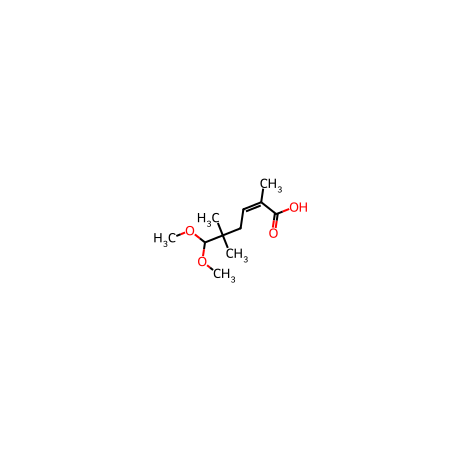 COC(OC)C(C)(C)CC=C(C)C(=O)O